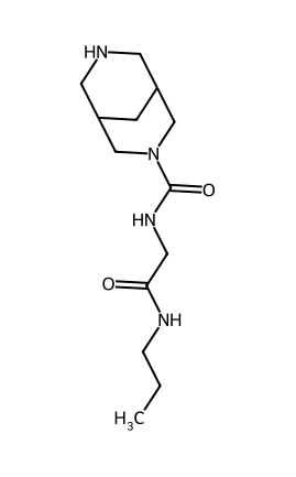 CCCNC(=O)CNC(=O)N1CC2CNCC(C2)C1